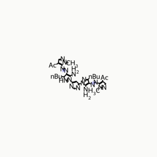 CCCCc1nn(-c2cc(N3NC(CCCC)C(/N=N/c4c(C(C)=O)cnn4C)=C3N)ncn2)c(N)c1/N=N/c1c(C(C)=O)cnn1C